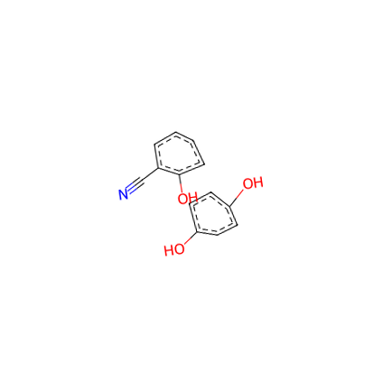 N#Cc1ccccc1O.Oc1ccc(O)cc1